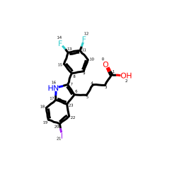 O=C(O)CCCc1c(-c2ccc(F)c(F)c2)[nH]c2ccc(I)cc12